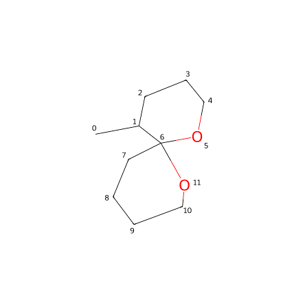 CC1CCCOC12CCCCO2